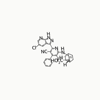 N#Cc1c(-c2n[nH]c3ncc(Cl)cc23)nc(N[C@H]2C3CCC(CC3)[C@@H]2C(=O)O)c(F)c1-c1ccccc1